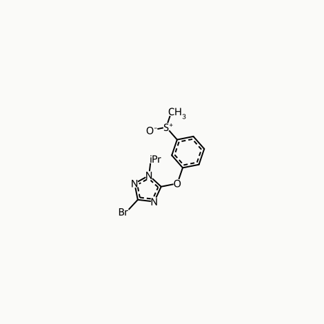 CC(C)n1nc(Br)nc1Oc1cccc([S+](C)[O-])c1